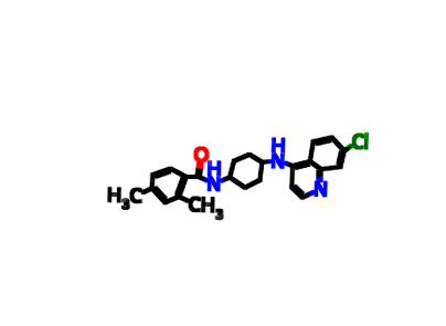 Cc1ccc(C(=O)NC2CCC(Nc3ccnc4cc(Cl)ccc34)CC2)c(C)c1